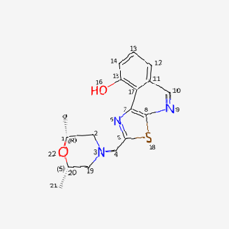 C[C@@H]1CN(Cc2nc3c(ncc4cccc(O)c43)s2)C[C@H](C)O1